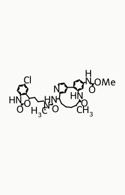 COC(=O)Nc1ccc2c(c1)NC(=O)C(C)CCCC(NC(=O)N(C)CCCC1OC(=O)Nc3ccc(Cl)cc31)c1cc-2ccn1